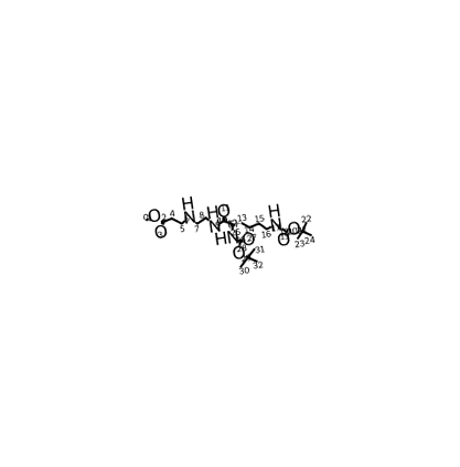 COC(=O)CCNCCNC(=O)[C@H](CCCCNC(=O)OC(C)(C)C)NC(=O)OC(C)(C)C